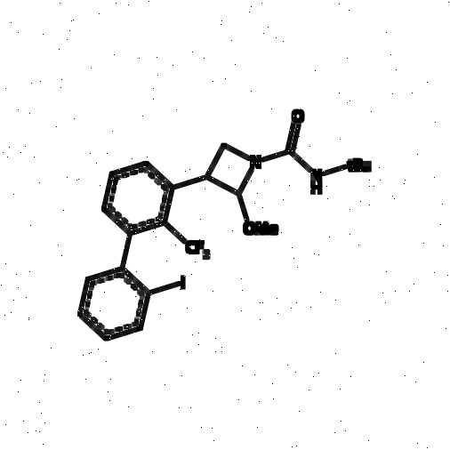 COC1C(c2cccc(-c3ccccc3I)c2C(F)(F)F)CN1C(=O)NC(C)(C)C